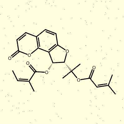 C/C=C(/C)C(=O)O[C@@H]1c2c(ccc3ccc(=O)oc23)O[C@@H]1C(C)(C)OC(=O)C=C(C)C